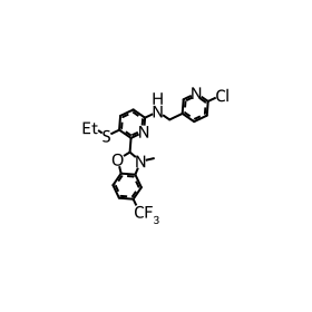 CCSc1ccc(NCc2ccc(Cl)nc2)nc1C1Oc2ccc(C(F)(F)F)cc2N1C